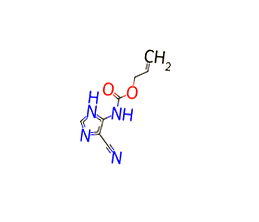 C=CCOC(=O)Nc1[nH]cnc1C#N